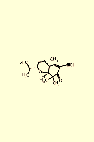 CC(C)[C@@H]1CC[C@@]2(C)C=C(C#N)C(=O)C(C)(C)[C@@H]2O1